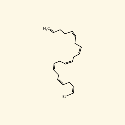 C=CCC/C=C\C/C=C\C/C=C\C/C=C\C/C=C\C/C=C\CC